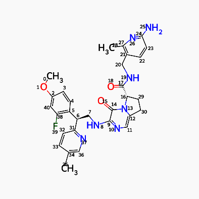 COc1ccc([C@@H](CNc2ncc3n(c2=O)[C@H](C(=O)NCc2ccc(N)nc2C)CC3)c2ccc(C)cn2)c(F)c1